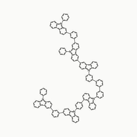 c1ccc(-n2c3ccccc3c3cc(-c4cccc(-c5ccc6c(c5)c5ccccc5n6-c5ccc(-c6cccc7c6c6ccccc6n7-c6cccc(-c7cccc(-c8cccc(-n9c%10ccccc%10c%10cc(-c%11ccc%12c(c%11)c%11ccc(-c%13cccc(-c%14ccc%15c%16ccccc%16n(-c%16ccccc%16)c%15c%14)c%13)cc%11n%12-c%11ccccc%11)ccc%109)c8)c7)c6)cc5)c4)ccc32)cc1